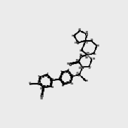 C[C@@H](c1ccc(-c2ccn(C)c(=O)c2)cc1)N1CC[C@]2(CCCC3(C2)OCCO3)OC1=O